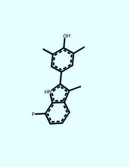 Cc1cc(-c2[nH]c3c(F)cccc3c2C)cc(C)c1O